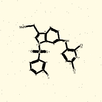 CNCc1cn(S(=O)(=O)c2cccc(F)c2)c2cc(Nc3ccc(Cl)nc3Cl)ccc12